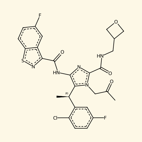 CC(=O)Cn1c(C(=O)NCC2COC2)nc(NC(=O)c2nsc3ccc(F)cc23)c1[C@H](C)c1cc(F)ccc1Cl